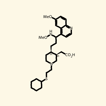 CONC(CC[C@@H]1CCN(CCSC2CCCCC2)C[C@@H]1CC(=O)O)c1ccnc2ccc(OC)cc12